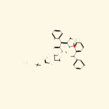 CC(C)(C)OC(=O)N[C@@H]1C(=O)N2[C@@H](C(=O)OC(c3ccccc3)c3ccccc3)C(C(=C3CCNC3=O)c3ccccc3F)=CS[C@H]12